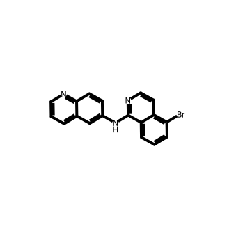 Brc1cccc2c(Nc3ccc4ncccc4c3)nccc12